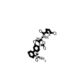 NS(=O)(=O)c1ccccc1-c1ccc2c(c1)OC[C@H]1[C@H](CNC(=O)c3ccc(Cl)s3)OC(=O)N21